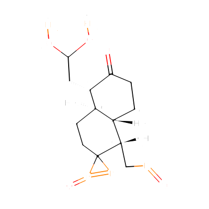 C[C@@]12CCC3(P=P3=O)[C@@](C)(CP=O)[C@H]1CCC(=O)[C@H]2CC(OP)OP